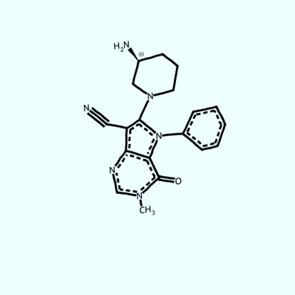 Cn1cnc2c(C#N)c(N3CCC[C@H](N)C3)n(-c3ccccc3)c2c1=O